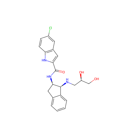 O=C(N[C@@H]1Cc2ccccc2[C@@H]1NC[C@@H](O)CO)c1cc2cc(Cl)ccc2[nH]1